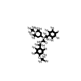 [2H]c1c([2H])c(C([2H])([2H])N(C(=O)NC([2H])([2H])c2c([2H])c([2H])c(OC([2H])([2H])C(C)C)c([2H])c2[2H])C2CC([2H])([2H])N(C([2H])([2H])[2H])C([2H])([2H])C2)c([2H])c([2H])c1F